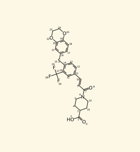 O=C(O)C1CCN(C(=O)C=Cc2ccc(Sc3ccc4c(c3)OCCO4)c(C(F)(F)F)c2)CC1